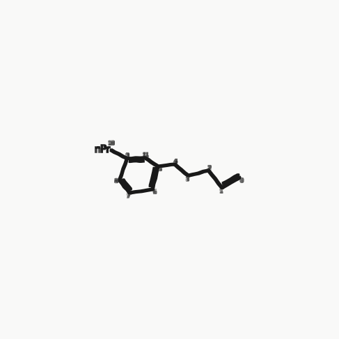 C=CCCCc1cccc(CCC)c1